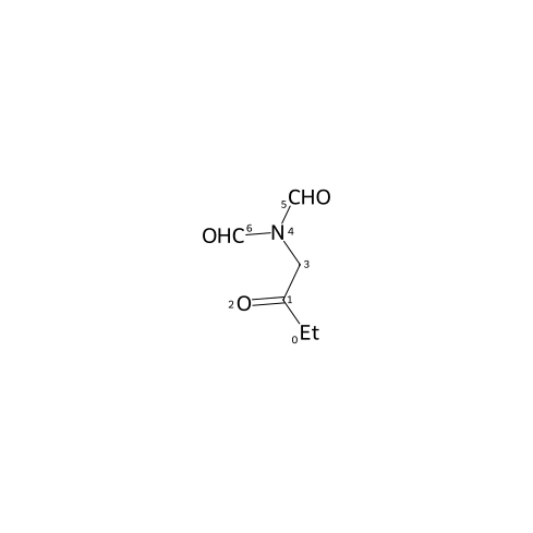 CCC(=O)CN(C=O)C=O